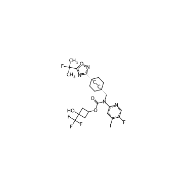 CC(C)(F)c1nc([C@]23CC[C@](CN(C(=O)OC4CC(O)(C(F)(F)F)C4)c4cc(I)c(F)cn4)(CC2)CC3)no1